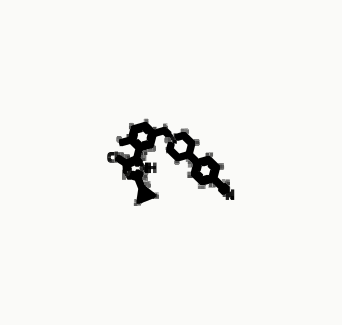 Cc1ccc(CN2CCC(c3ccc(C#N)cc3)CC2)cc1-c1[nH]c(C2CC2)nc1Cl